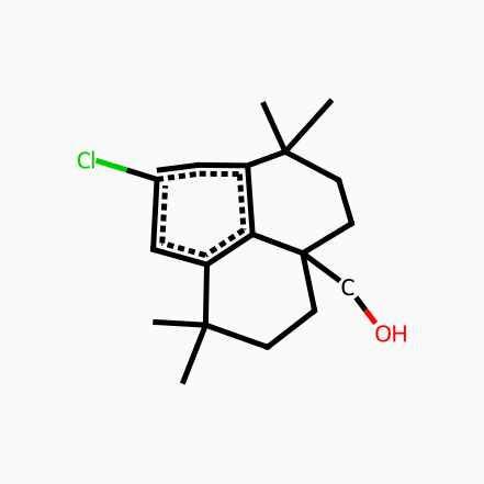 CC1(C)CCC2(CO)CCC(C)(C)c3cc(Cl)cc1c32